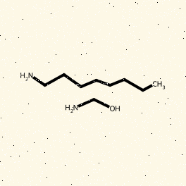 CCCCCCCCN.NCO